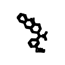 COc1cccc(C(C2CCc3nc4ccccc4cc3C2)N(C)C)c1